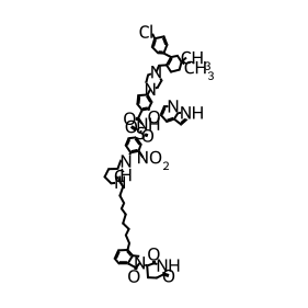 CC1(C)CCC(CN2CCN(c3ccc(C(=O)NS(=O)(=O)c4ccc(NCC5CCCN(CCCCCCCCCc6cccc7c6CN(C6CCC(=O)NC6=O)C7=O)C5)c([N+](=O)[O-])c4)c(Oc4cnc5[nH]ccc5c4)c3)CC2)=C(c2ccc(Cl)cc2)C1